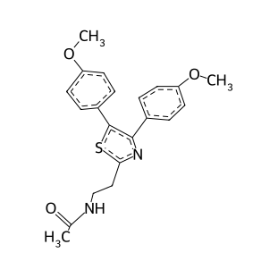 COc1ccc(-c2nc(CCNC(C)=O)sc2-c2ccc(OC)cc2)cc1